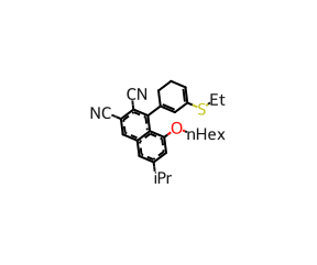 CCCCCCOc1cc(C(C)C)cc2cc(C#N)c(C#N)c(C3=CC(SCC)=CCC3)c12